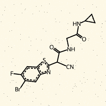 N#CC(C(=O)NCC(=O)NC1CC1)c1nc2cc(Br)c(F)cc2s1